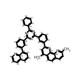 Cc1ccc2ccc3c(C)cc(-c4cccc(-c5nc(-c6ccccc6)nc(-c6cccc(-c7cccc8cccnc78)c6)n5)c4)nc3c2n1